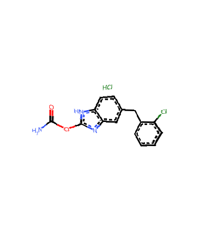 Cl.NC(=O)Oc1nc2cc(Cc3ccccc3Cl)ccc2[nH]1